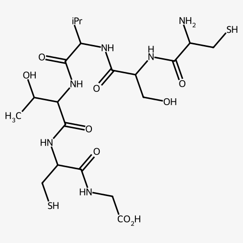 CC(C)C(NC(=O)C(CO)NC(=O)C(N)CS)C(=O)NC(C(=O)NC(CS)C(=O)NCC(=O)O)C(C)O